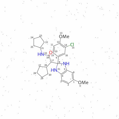 COc1ccc2c(c1)NC(c1ccc(OC)c(Cl)c1)(C(C(=O)NC1CCCC1)C1CCCC1)N2